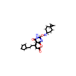 O=c1cc(CCC2CCCC2)c2c(=O)[nH]c(ON=C3CCC4(CC3)CC4)nc2o1